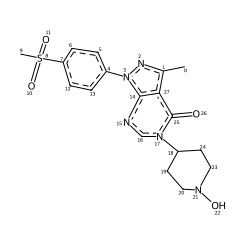 Cc1nn(-c2ccc(S(C)(=O)=O)cc2)c2ncn(C3CCN(O)CC3)c(=O)c12